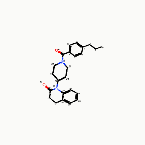 CCCc1ccc(C(=O)N2CCC(N3C(=O)CCc4ccccc43)CC2)cc1